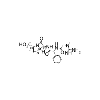 CN(CC(=O)NC(C(=O)N[C@@H]1C(=O)N2[C@@H]1SC(C)(C)[C@@H]2C(=O)O)c1ccccc1)C(=N)N